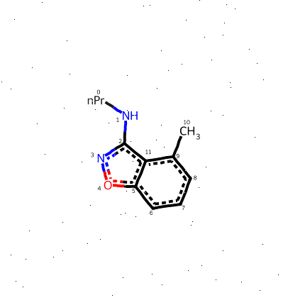 CCCNc1noc2cccc(C)c12